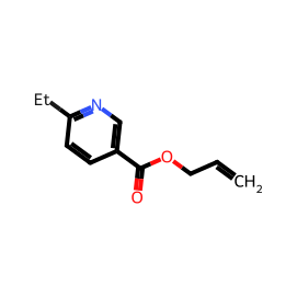 C=CCOC(=O)c1ccc(CC)nc1